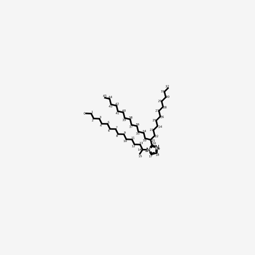 CCCCCCCCCCCCCCC(C)n1ccnc1C(CCCCCCCCCCC)CCCCCCCCCCCCC